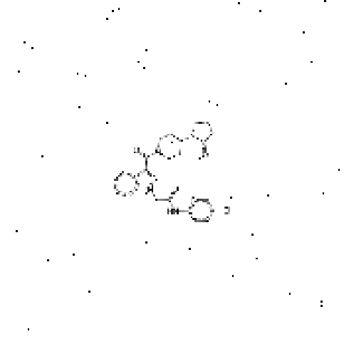 O=C(Cn1nc(C(=O)N2CCC(N3CCCC3=O)CC2)c2ccccc21)Nc1ccc(Cl)cn1